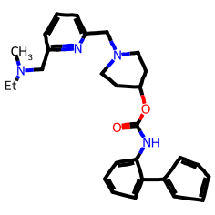 CCN(C)Cc1cccc(CN2CCC(OC(=O)Nc3ccccc3-c3ccccc3)CC2)n1